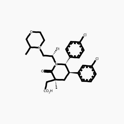 CC[C@@H](CN1CCOCC1C)N1C(=O)[C@](C)(CC(=O)O)C[C@H](c2cccc(Cl)c2)[C@H]1c1ccc(Cl)cc1